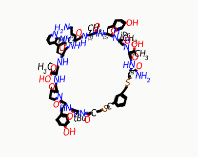 CC(C)[C@]1(C)NC(=O)[C@H](Cc2ccc(O)cc2)NC(=O)[C@H](C)NC(=O)[C@](C)(CCCN)NC(=O)[C@H](Cc2c[nH]c3ncccc23)NC(=O)[C@H]([C@@H](C)O)NC(=O)[C@@H]2CCCN2C(=O)[C@H](Cc2ccc(O)cc2)NC(=O)[C@H](C(C)(C)C)NC(=O)CCSCc2cccc(c2)CSC[C@H](C(N)=O)NC(=O)[C@H]([C@@H](C)O)NC1=O